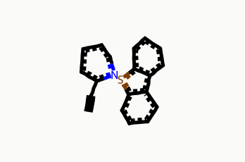 C#Cc1ccccn1.c1ccc2c(c1)sc1ccccc12